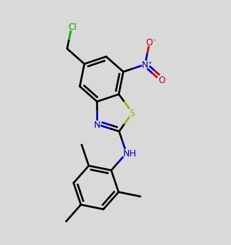 Cc1cc(C)c(Nc2nc3cc(CCl)cc([N+](=O)[O-])c3s2)c(C)c1